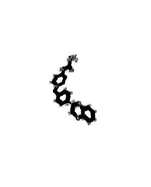 NC(=O)NC1CCN(Cc2ccc([C@H]3COc4ccccc4O3)cc2)CC1